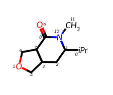 CC(C)C1CC2COCC2C(=O)N1C